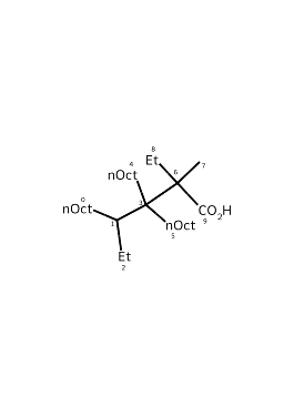 CCCCCCCCC(CC)C(CCCCCCCC)(CCCCCCCC)C(C)(CC)C(=O)O